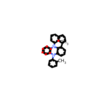 Cc1ccccc1N(c1ccccc1)c1cccc(-c2ccccc2)c1N(c1ccccc1)c1ccccc1C